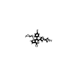 COCCOc1cc(F)ccc1-c1c(-c2cnn(C3CNC3)c2)nc(Cl)c2ccsc12